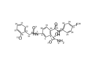 NS(=O)(=O)c1cc(NC(=O)Cc2ccccc2Cl)ccc1C(=O)Nc1ccc(F)cc1